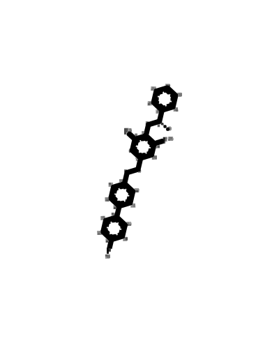 C[C@H](Cc1c(F)cc(CCc2ccc(-c3ccc(F)cc3)cc2)cc1F)c1ccccc1